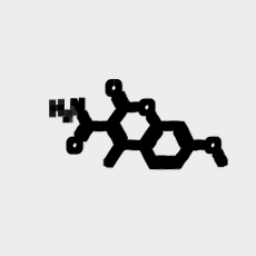 COc1ccc2c(C)c(C(N)=O)c(=O)oc2c1